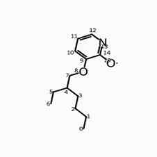 CCCCC(CC)COc1cccnc1[O]